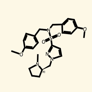 COc1ccc(CN(Cc2ccc(OC)cc2)S(=O)(=O)c2ccn(C[C@H]3CCCN3C)n2)cc1